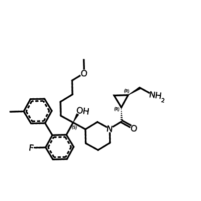 COCCCC[C@@](O)(c1cccc(F)c1-c1cccc(C)c1)C1CCCN(C(=O)[C@@H]2C[C@H]2CN)C1